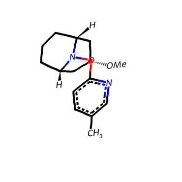 CO[C@H]1C[C@H]2CCC[C@@H](C1)N2Oc1ccc(C)cn1